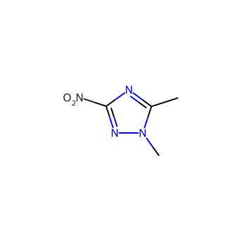 Cc1nc([N+](=O)[O-])nn1C